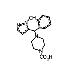 Cn1nccc1C(c1ccccc1)N1CCN(C(=O)O)CC1